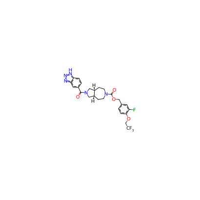 O=C(OCc1ccc(OCC(F)(F)F)c(F)c1)N1CC[C@@H]2CN(C(=O)c3ccc4[nH]nnc4c3)C[C@@H]2CC1